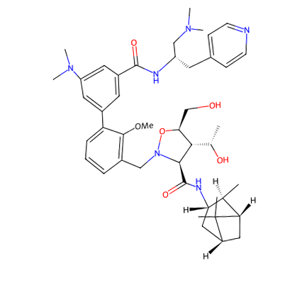 COc1c(CN2O[C@@H](CO)[C@H]([C@H](C)O)[C@H]2C(=O)N[C@H]2C[C@H]3C[C@@H]([C@@H]2C)C3(C)C)cccc1-c1cc(C(=O)N[C@@H](Cc2ccncc2)CN(C)C)cc(N(C)C)c1